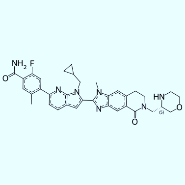 Cc1cc(C(N)=O)c(F)cc1-c1ccc2cc(-c3nc4cc5c(cc4n3C)CCN(C[C@H]3COCCN3)C5=O)n(CC3CC3)c2n1